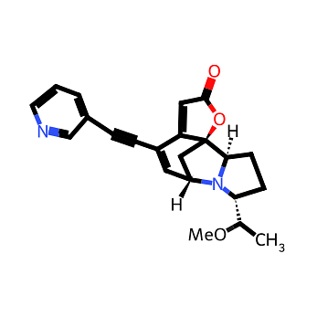 COC(C)[C@H]1CC[C@H]2N1[C@@H]1C=C(C#Cc3cccnc3)C3=CC(=O)O[C@@]32C1